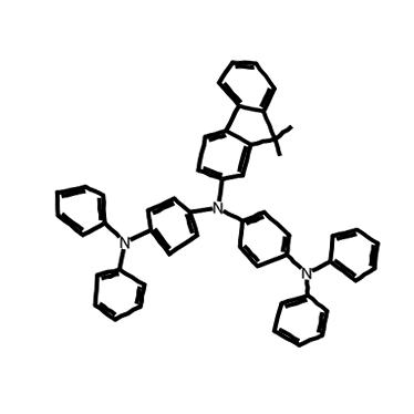 CC1(C)c2ccccc2-c2ccc(N(c3ccc(N(c4ccccc4)c4ccccc4)cc3)c3ccc(N(c4ccccc4)c4ccccc4)cc3)cc21